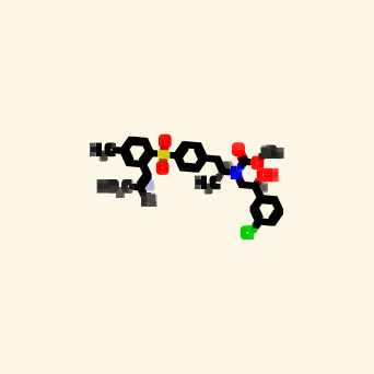 CC/C(=C/c1cc(C)ccc1S(=O)(=O)c1ccc(C[C@@H](C)N(C[C@@H](O)c2cccc(Cl)c2)C(=O)OC(C)(C)C)cc1)C(=O)O